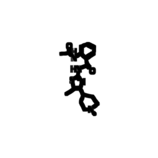 CC(=O)Nc1ccccc1C(=O)Nc1nc(C2CCN(C)CC2)c(C)s1